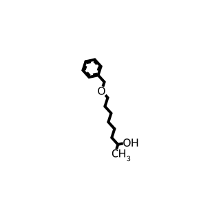 CC(O)CCCCCCOCc1ccccc1